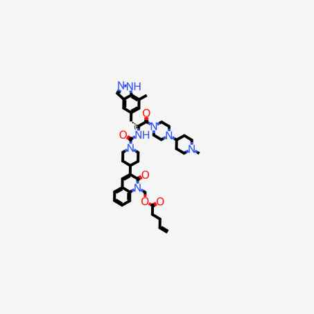 C=CCCC(=O)OCn1c(=O)c(C2CCN(C(=O)N[C@H](Cc3cc(C)c4[nH]ncc4c3)C(=O)N3CCN(C4CCN(C)CC4)CC3)CC2)cc2ccccc21